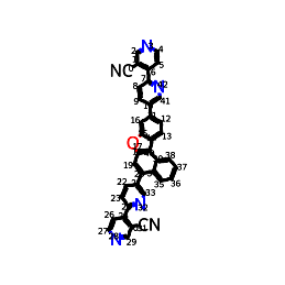 N#Cc1cnccc1-c1ccc(-c2ccc3c(c2)oc2cc(-c4ccc(-c5ccncc5C#N)nc4)c4ccccc4c23)cn1